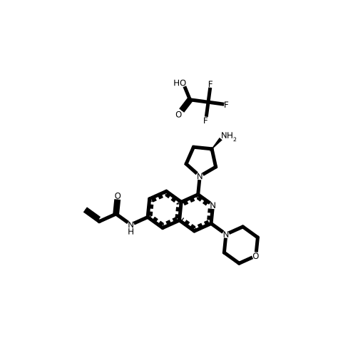 C=CC(=O)Nc1ccc2c(N3CC[C@@H](N)C3)nc(N3CCOCC3)cc2c1.O=C(O)C(F)(F)F